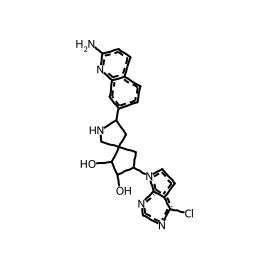 Nc1ccc2ccc(C3CC4(CN3)CC(n3ccc5c(Cl)ncnc53)C(O)C4O)cc2n1